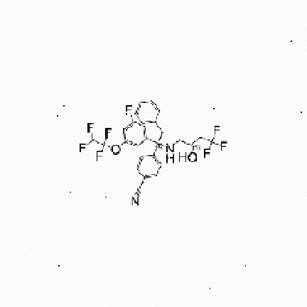 N#Cc1ccc([C@@](Cc2ccccc2)(NC[C@@H](O)CC(F)(F)F)c2cc(F)cc(OC(F)(F)C(F)F)c2)cc1